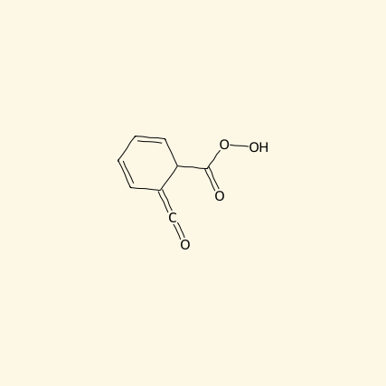 O=C=C1C=CC=CC1C(=O)OO